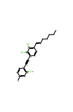 CCCCC/C=C/c1ccc(C#Cc2ccc(C)cc2F)c(F)c1F